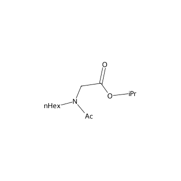 CCCCCCN(CC(=O)OC(C)C)C(C)=O